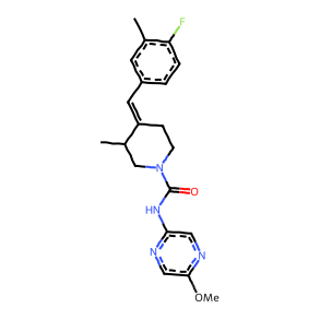 COc1cnc(NC(=O)N2CCC(=Cc3ccc(F)c(C)c3)C(C)C2)cn1